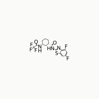 O=C(Nc1nc2c(F)cc(F)cc2s1)[C@H]1CCC[C@@H](NC(=O)C(F)(F)F)C1